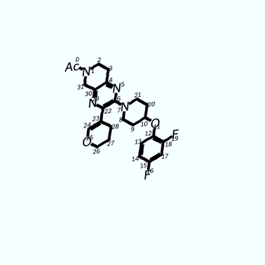 CC(=O)N1CCc2nc(N3CCC(Oc4ccc(F)cc4F)CC3)c(C3=COCCC3)nc2C1